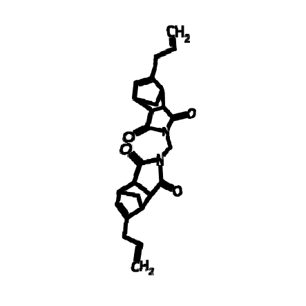 C=CCC1=CC2CC1C1C(=O)N(CN3C(=O)C4C5C=C(CC=C)C(C5)C4C3=O)C(=O)C21